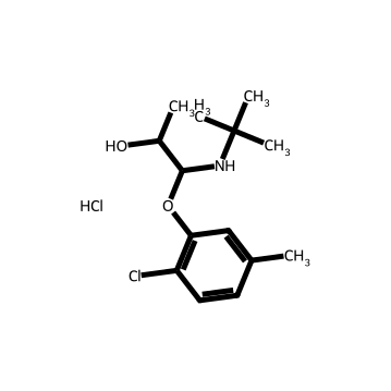 Cc1ccc(Cl)c(OC(NC(C)(C)C)C(C)O)c1.Cl